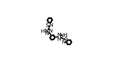 c1cc(-c2n[nH]c(-c3nc4ccccc4s3)n2)cc(-c2n[nH]c(-c3nc4ccccc4s3)n2)c1